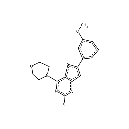 COc1cccc(-c2cc3nc(Cl)nc(N4CCOCC4)c3s2)c1